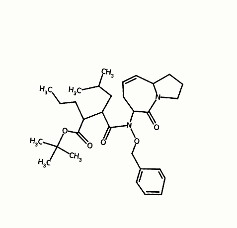 CCCC(C(=O)OC(C)(C)C)C(CC(C)C)C(=O)N(OCc1ccccc1)C1CC=CC2CCCN2C1=O